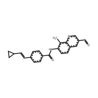 Cc1c(NC(=O)c2ccc(C=CC3CC3)cc2)ccc2cc(C=O)cnc12